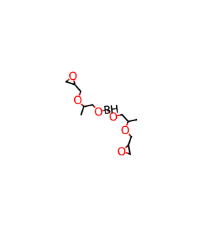 CC(COBOCC(C)OCC1CO1)OCC1CO1